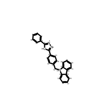 c1ccc(-c2nnc(-c3ccc(Cn4c5ccccc5c5ccccc54)cc3)o2)cc1